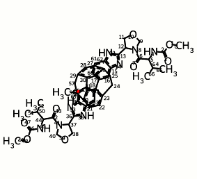 COC(=O)NC(C(=O)N1COCC1c1nc2cc(-c3cc4ccc3CCc3ccc(c(-c5ccc6[nH]c(C7COCN7C(=O)C(NC(=O)OC)C(C)C)nc6c5)c3)C[C@H]4C)ccc2[nH]1)C(C)C